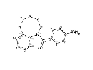 Nc1ccc(C(=O)N2CCCCCc3ccccc32)cc1